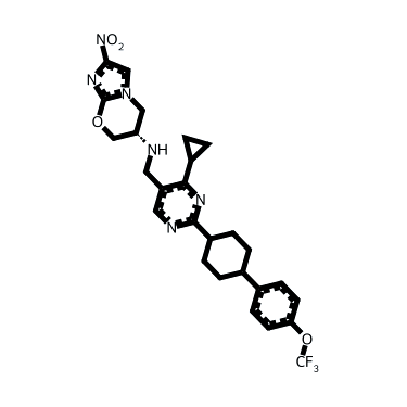 O=[N+]([O-])c1cn2c(n1)OC[C@@H](NCc1cnc(C3CCC(c4ccc(OC(F)(F)F)cc4)CC3)nc1C1CC1)C2